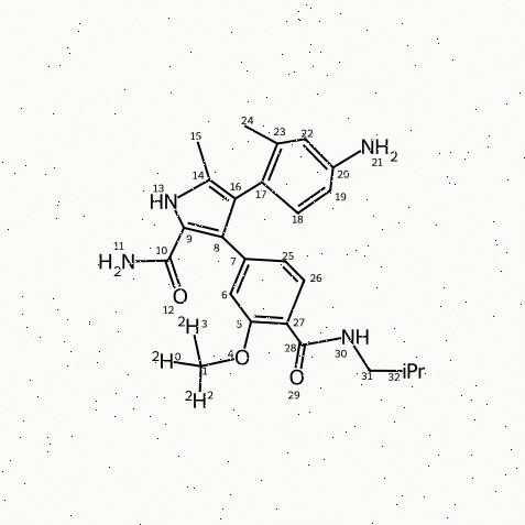 [2H]C([2H])([2H])Oc1cc(-c2c(C(N)=O)[nH]c(C)c2-c2ccc(N)cc2C)ccc1C(=O)NCC(C)C